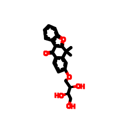 CC1(C)c2cc(OC[C@@H](O)[C@H](O)CO)ccc2C(=O)c2c1oc1ccccc21